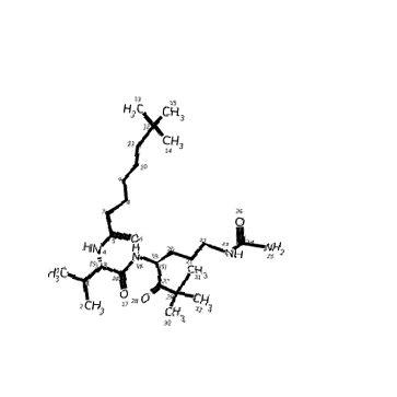 CC(C)[C@H](NC(=O)CCCCCC(C)(C)C)C(=O)N[C@@H](CCCNC(N)=O)C(=O)C(C)(C)C